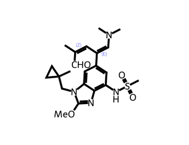 COc1nc2c(NS(C)(=O)=O)cc(C(/C=C(/C)C=O)=C/N(C)C)cc2n1CC1(C)CC1